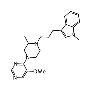 COc1cncnc1N1CCN(CCCc2cn(C)c3ccccc23)C(C)C1